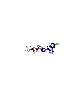 CN(C(=O)OC(C)(C)C)[C@@H]1CCN(c2nc3ncc(Br)cc3n3cnnc23)C1